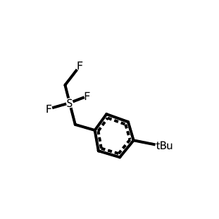 CC(C)(C)c1ccc(CS(F)(F)CF)cc1